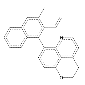 C=Cc1c(C)cc2ccccc2c1-c1ccc2c3c(ccnc13)CCO2